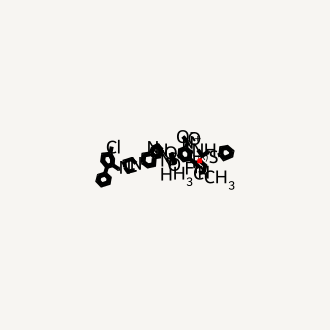 CN(C)CC[C@H](CSc1ccccc1)Nc1c([N+](=O)[O-])cc(S(=O)(=O)Nc2ncnc3cc(N4CCN(Cc5cc(Cl)ccc5-c5ccccc5)CC4)ccc23)cc1C(F)(F)F